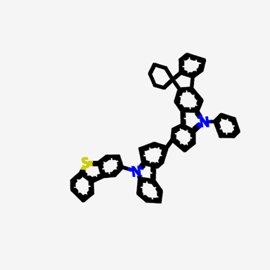 c1ccc(-n2c3ccc(-c4ccc5c(c4)c4ccccc4n5-c4ccc5sc6ccccc6c5c4)cc3c3cc4c(cc32)-c2ccccc2C42CCCCC2)cc1